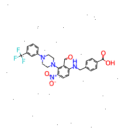 O=Cc1c(NCc2ccc(C(=O)O)cc2)ccc([N+](=O)[O-])c1N1CCN(c2cccc(C(F)(F)F)c2)CC1